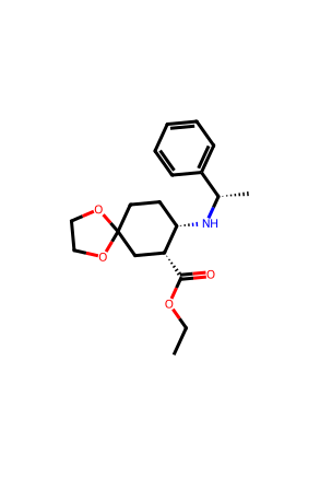 CCOC(=O)[C@@H]1CC2(CC[C@@H]1N[C@@H](C)c1ccccc1)OCCO2